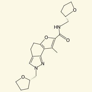 Cc1c(C(=O)NC[C@@H]2CCCO2)oc2c1-c1nn(C[C@@H]3CCCO3)cc1CC2